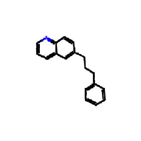 c1ccc(CCCc2ccc3ncccc3c2)cc1